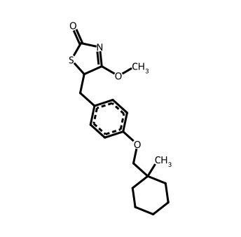 COC1=NC(=O)SC1Cc1ccc(OCC2(C)CCCCC2)cc1